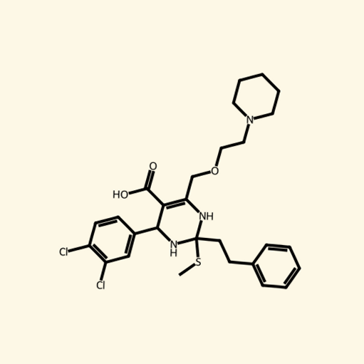 CSC1(CCc2ccccc2)NC(COCCN2CCCCC2)=C(C(=O)O)C(c2ccc(Cl)c(Cl)c2)N1